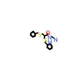 N#CCNC(=O)C(CSCc1ccccc1)CSCc1ccccc1